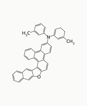 CC1=CC(N(c2cccc(C)c2)c2ccc3c(c2)c2ccccc2c2c3ccc3oc4cc5ccccc5cc4c32)=CCC1